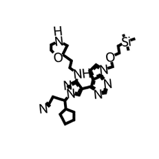 C[Si](C)(C)CCOCn1ccc2c(-c3cn(C(CC#N)C4CCCC4)nc3NCCC3CNCCO3)ncnc21